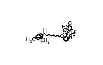 CC12CC3CC(C)(C1)CC(NCCCCCCCOc1cccc4nc(C(F)(F)F)n([C@H]5CCC(=O)NC5=O)c(=O)c14)(C3)C2